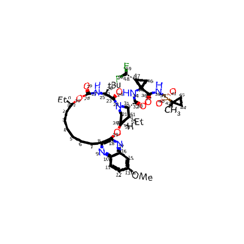 CC[C@@H]1CCCCCCc2nc3ccc(OC)cc3nc2O[C@H]2CN(C(=O)[C@H](C(C)(C)C)NC(=O)O1)[C@H](C(=O)N[C@]1(C(=O)NS(=O)(=O)C3(C)CC3)C[C@H]1C(F)F)[C@@H]2CC